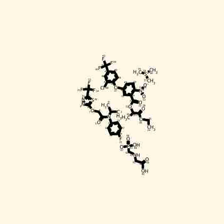 CC(C)N(C(=O)COc1nnc(C(F)(F)F)s1)c1ccc(F)cc1.CCOC(=O)C(C)OC(=O)c1cc(Oc2ccc(C(F)(F)F)cc2Cl)ccc1[N+](=O)[O-].C[S+](C)C.O=C(O)CNCP(=O)([O-])O